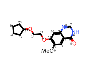 COc1cc2c(=O)[nH]cnc2cc1OCCOC1CCCC1